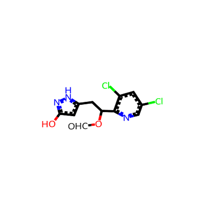 O=COC(Cc1cc(O)n[nH]1)c1ncc(Cl)cc1Cl